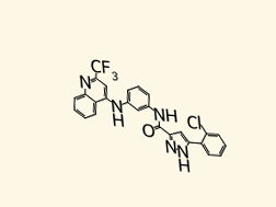 O=C(Nc1cccc(Nc2cc(C(F)(F)F)nc3ccccc23)c1)c1cc(-c2ccccc2Cl)[nH]n1